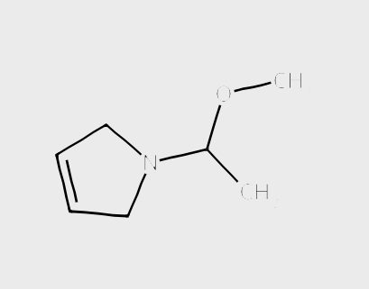 COC(C)N1CC=CC1